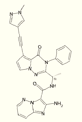 C[C@H](NC(=O)c1c(N)nc2cccnn12)c1nn2ccc(C#Cc3cnn(C)c3)c2c(=O)n1-c1ccccc1